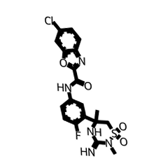 CN1C(=N)NC(C)(c2cc(NC(=O)c3nc4ccc(Cl)cc4o3)ccc2F)CS1(=O)=O